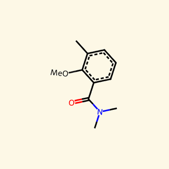 COc1c(C)cccc1C(=O)N(C)C